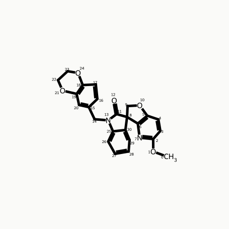 COc1ccc2c(n1)C1(CO2)C(=O)N(Cc2ccc3c(c2)OCCO3)c2ccccc21